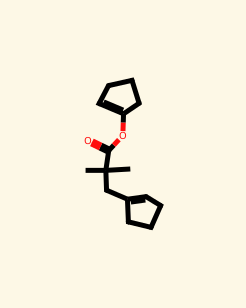 CC(C)(CC1=CCCC1)C(=O)OC1=CCCC1